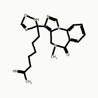 CC(=N)CCCCCC1(c2ncn3c2CN(C)C(=O)c2ccccc2-3)N=CON1